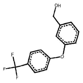 OCc1cccc(Oc2ccc(C(F)(F)F)cc2)c1